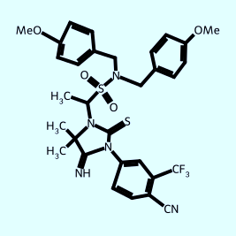 COc1ccc(CN(Cc2ccc(OC)cc2)S(=O)(=O)C(C)N2C(=S)N(c3ccc(C#N)c(C(F)(F)F)c3)C(=N)C2(C)C)cc1